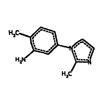 Cc1ccc(-n2ccnc2C)cc1N